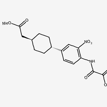 COC(=O)C[C@H]1CC[C@H](c2ccc(NC(=O)C(=O)OC)c([N+](=O)[O-])c2)CC1